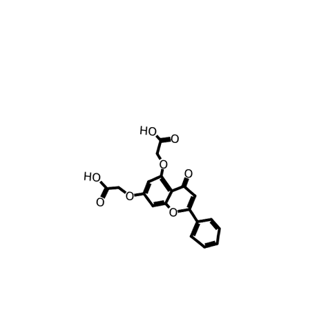 O=C(O)COc1cc(OCC(=O)O)c2c(=O)cc(-c3ccccc3)oc2c1